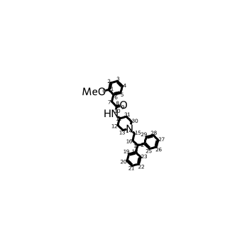 COc1ccccc1CC(=O)NC1CCN(CCC(c2ccccc2)c2ccccc2)CC1